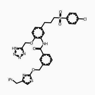 CC(C)Cc1csc(OCc2cccc(C(=O)Nc3cc(CCCS(=O)(=O)c4ccc(Cl)cc4)ccc3OCc3nnn[nH]3)c2)n1